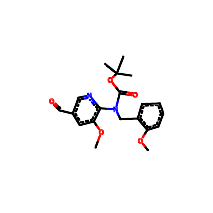 COc1ccccc1CN(C(=O)OC(C)(C)C)c1ncc(C=O)cc1OC